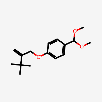 C=C(COc1ccc(C(OC)OC)cc1)C(C)(C)C